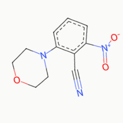 N#Cc1c(N2CCOCC2)cccc1[N+](=O)[O-]